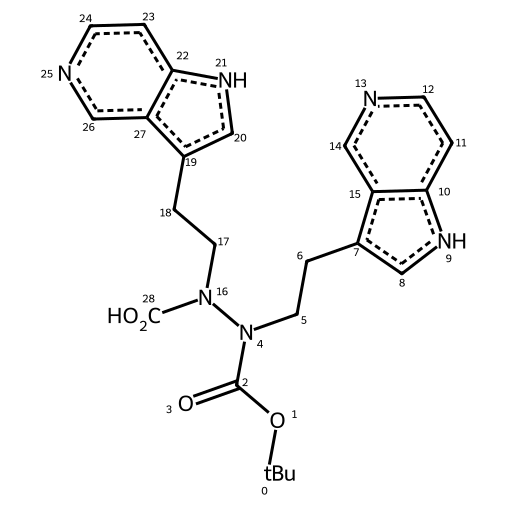 CC(C)(C)OC(=O)N(CCc1c[nH]c2ccncc12)N(CCc1c[nH]c2ccncc12)C(=O)O